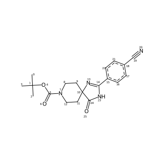 CC(C)(C)OC(=O)N1CCC2(CC1)N=C(c1ccc(C#N)cc1)NC2=O